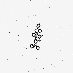 Cc1cc2c3c(c1)C(C)(C)c1cc(N(c4ccccc4)c4ccccc4)ccc1B3c1cccc3c4c(n-2c13)-c1ccccc1C(c1ccccc1)CC4